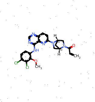 C=CC(=O)N1C[C@@H]2C[C@H]1CN2c1ccc2ncnc(Nc3ccc(Cl)c(Cl)c3OC)c2n1